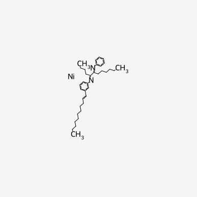 CCCCCCCCC/C=C/c1cccc(/N=C(CCCC)/C(CCCCCC)=N/c2ccccc2)c1.[Ni]